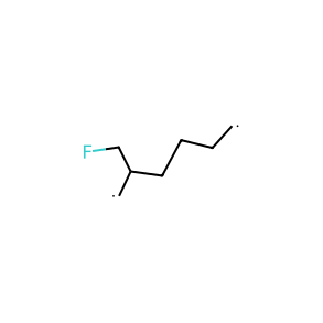 [CH2]CCCC([CH2])CF